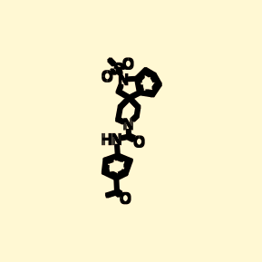 CC(=O)c1ccc(NC(=O)N2CCC3(CC2)CN(S(C)(=O)=O)c2ccccc23)cc1